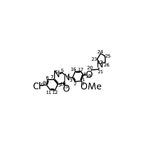 COc1cc(-n2cnc3cc(Cl)ccc3c2=O)ccc1OCCN1CCCC1